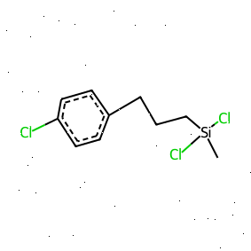 C[Si](Cl)(Cl)CCCc1ccc(Cl)cc1